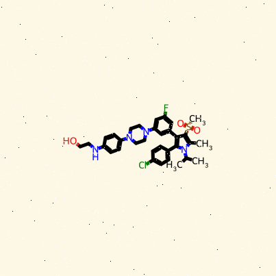 Cc1c(S(C)(=O)=O)c(-c2cc(F)cc(N3CCN(c4ccc(NCCO)cc4)CC3)c2)c(-c2ccc(Cl)cc2)n1C(C)C